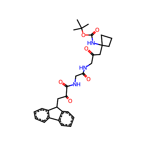 CC(C)(C)OC(=O)NC1(CC(=O)CNC(=O)CNC(=O)C(=O)CC2c3ccccc3-c3ccccc32)CCC1